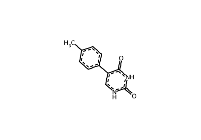 Cc1ccc(-c2c[nH]c(=O)[nH]c2=O)cc1